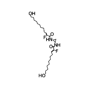 O=C(N[C@H]1C[C@H]1NC(=O)/C(F)=C/CCCCCCCCCO)/C(F)=C/CCCCCCCCCO